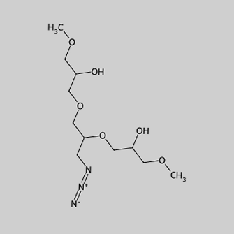 COCC(O)COCC(CN=[N+]=[N-])OCC(O)COC